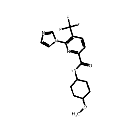 COC1CCC(NC(=O)c2ccc(C(F)(F)F)c(-n3ccnc3)n2)CC1